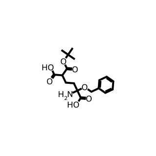 CC(C)(C)OC(=O)C(CCC(N)(OCc1ccccc1)C(=O)O)C(=O)O